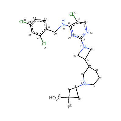 CCC1(C(=O)O)CC(N2CCCC(C3CN(c4ncc(Cl)c(NCc5ccc(Cl)cc5Cl)n4)C3)C2)C1